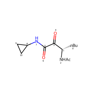 CCCC[C@H](NC(C)=O)C(=O)C(=O)NC1CC1